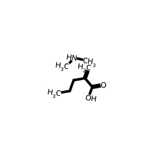 C=C(CCC)C(=O)O.CNC